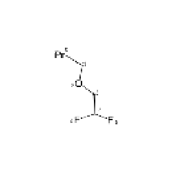 CC(C)[CH]OCC(F)F